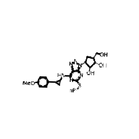 CCCSc1nc(NC2CC2c2ccc(OC)cc2)c2nnn([C@H]3C[C@@H](CO)[C@H](O)[C@@H]3O)c2n1